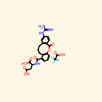 N=C(N)Nc1ccc2c(c1)CCCc1c(cccc1C(=O)NC(CC(=O)O)C(=O)O)OC2=O.O=C(O)C(F)(F)F